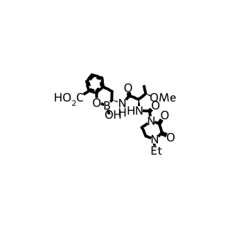 CCN1CCN(C(=O)N[C@@H](C(=O)N[C@H]2Cc3cccc(C(=O)O)c3OB2O)[C@H](C)OC)C(=O)C1=O